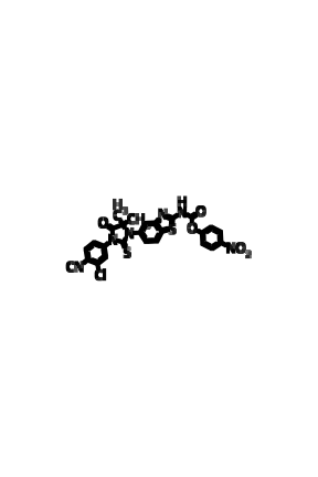 [C-]#[N+]c1ccc(N2C(=O)C(C)(C)N(c3ccc4sc(NC(=O)Oc5ccc([N+](=O)[O-])cc5)nc4c3)C2=S)cc1Cl